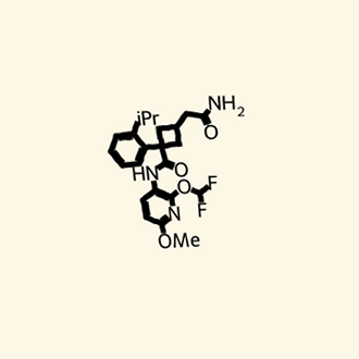 COc1ccc(NC(=O)C2(c3ccccc3C(C)C)CC(CC(N)=O)C2)c(OC(F)F)n1